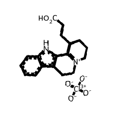 O=C(O)CCC1CCC[N+]2=C1c1[nH]c3ccccc3c1CC2.[O-][Cl+3]([O-])([O-])[O-]